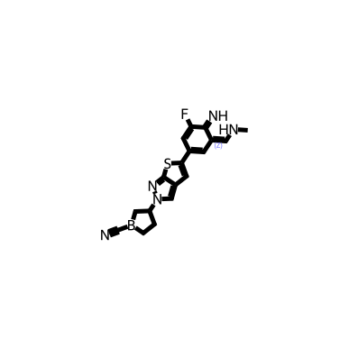 CN/C=C1/C=C(c2cc3cn(C4CCB(C#N)C4)nc3s2)C=C(F)C1=N